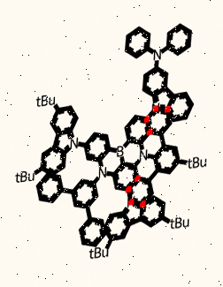 CC(C)(C)c1cc(-c2ccccc2)c(N2c3cc(-n4c5ccccc5c5cc(N(c6ccccc6)c6ccccc6)ccc54)ccc3B3c4ccc(-n5c6ccc(C(C)(C)C)cc6c6cc(C(C)(C)C)ccc65)cc4N(c4cc(-c5ccccc5)cc(-c5ccccc5)c4)c4cc(-n5c6ccc(C(C)(C)C)cc6c6cc(C(C)(C)C)ccc65)cc2c43)c(-c2ccccc2)c1